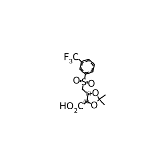 CC1(C)O[C@H](CS(=O)(=O)c2cccc(C(F)(F)F)c2)[C@H](C(=O)O)O1